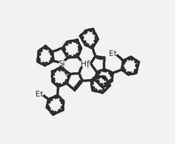 CCc1ccccc1-c1cccc2c1C=C(c1ccccc1)[CH]2[Hf]([c]1cccc2c1[SiH2]c1ccccc1-2)[CH]1C(c2ccccc2)=Cc2c(-c3ccccc3CC)cccc21